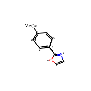 COc1ccc(-c2ncco2)cc1